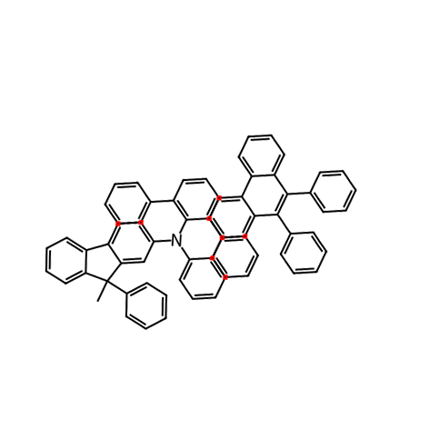 CC1(c2ccccc2)c2ccccc2-c2ccc(N(c3ccccc3-c3ccc4c(c3)c(-c3ccccc3)c(-c3ccccc3)c3ccccc34)c3c(-c4ccccc4)cccc3-c3ccccc3)cc21